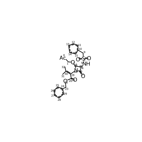 CC(=O)CO[C@H]1[C@@H](NS(=O)(=O)Cc2ccccc2)C(=O)N1C(C(=O)OCc1ccccc1)=C(C)C